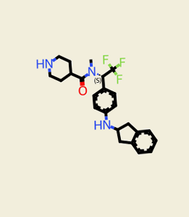 CN(C(=O)C1CCNCC1)[C@@H](c1ccc(NC2Cc3ccccc3C2)cc1)C(F)(F)F